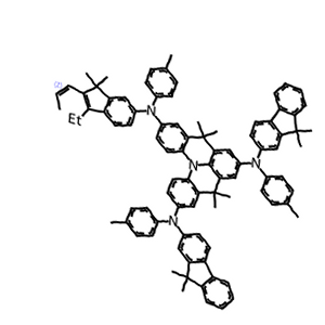 C/C=C\C1=C(CC)c2ccc(N(c3ccc(C)cc3)c3ccc4c(c3)C(C)(C)c3cc(N(c5ccc(C)cc5)c5ccc6c(c5)C(C)(C)c5ccccc5-6)cc5c3N4c3ccc(N(c4ccc(C)cc4)c4ccc6c(c4)C(C)(C)c4ccccc4-6)cc3C5(C)C)cc2C1(C)C